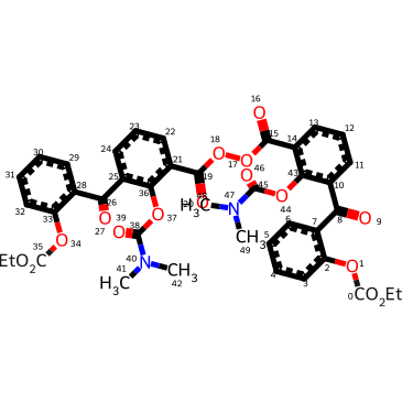 CCOC(=O)Oc1ccccc1C(=O)c1cccc(C(=O)OOC(=O)c2cccc(C(=O)c3ccccc3OC(=O)OCC)c2OC(=O)N(C)C)c1OC(=O)N(C)C